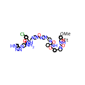 CCOc1cc(OC)ccc1CNCC(=O)N1CCCC(c2cccc(C(=O)N[C@@H](C(=O)N3CCC(CN4CCN(CC(=O)N5CCN(CC[C@H](NC(=O)C6(N)CCN(c7ncnc8[nH]ccc78)CC6)c6ccc(Cl)cc6)CC5)CC4)CC3)C3CCCCC3)c2)C1